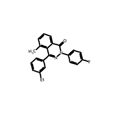 [CH2]Cc1cccc(-c2nn(-c3ccc(F)cc3)c(=O)c3cccc(C)c23)c1